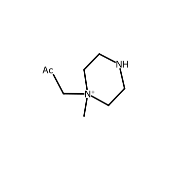 CC(=O)C[N+]1(C)CCNCC1